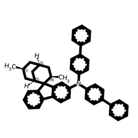 C[C@H]1C[C@@H]2C[C@H](C1)C1(c3ccccc3-c3ccc(N(c4ccc(-c5ccccc5)cc4)c4ccc(-c5ccccc5)cc4)cc31)[C@H](C)C2